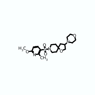 COc1ccc(S(=O)(=O)N2CCC3(CC2)CC(N2CCOCC2)CO3)c(C)n1